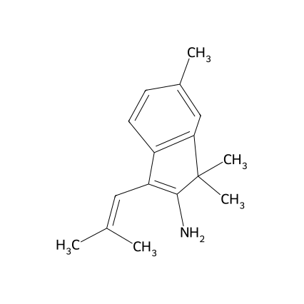 CC(C)=CC1=C(N)C(C)(C)c2cc(C)ccc21